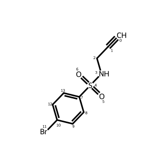 C#CCNS(=O)(=O)c1ccc(Br)cc1